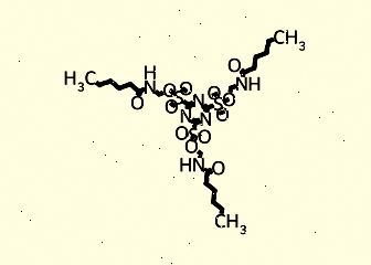 CCCCCC(=O)NCOS(=O)(=O)c1nc(S(=O)(=O)OCNC(=O)CCCCC)nc(S(=O)(=O)OCNC(=O)CCCCC)n1